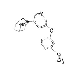 COc1cccc(Oc2cncc(N3CC4CC(C3)N4)c2)c1